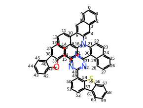 c1ccc2cc3c(cc2c1)-c1cccc2cccc(c12)N3c1ccc2ccccc2c1-c1nc(-c2cccc3c2oc2ccccc23)nc(-c2cccc3c2sc2ccccc23)n1